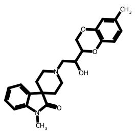 Cc1ccc2c(c1)OCC(C(O)CN1CCC3(CC1)C(=O)N(C)c1ccccc13)O2